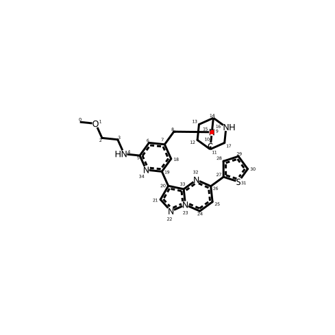 COCCNc1cc(CN2CC3CCC(C2)NC3)cc(-c2cnn3ccc(-c4cccs4)nc23)n1